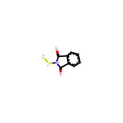 O=C1c2ccccc2C(=O)N1SS